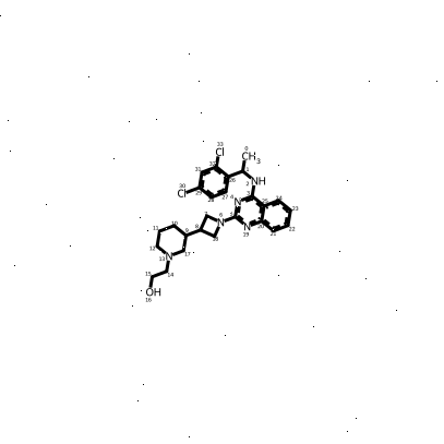 CC(Nc1nc(N2CC(C3CCCN(CCO)C3)C2)nc2ccccc12)c1ccc(Cl)cc1Cl